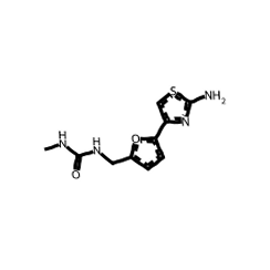 CNC(=O)NCc1ccc(-c2csc(N)n2)o1